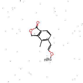 CCCCOC=Cc1ccc2c(c1C)COC2=O